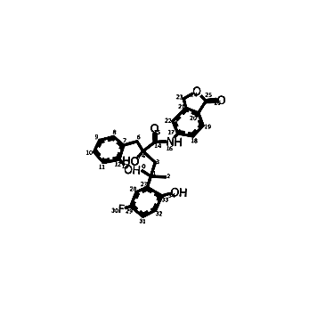 CC(C)(CC(O)(Cc1ccccc1O)C(=O)Nc1ccc2c(c1)COC2=O)c1cc(F)ccc1O